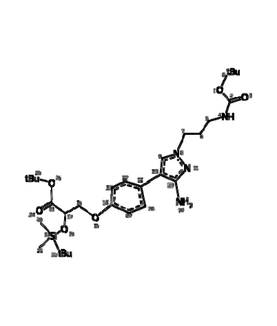 CC(C)(C)OC(=O)NCCCn1cc(-c2ccc(OCC(O[Si](C)(C)C(C)(C)C)C(=O)OC(C)(C)C)cc2)c(N)n1